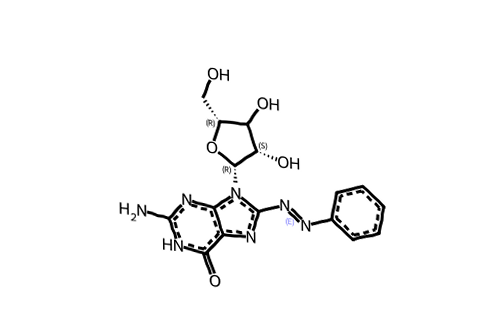 Nc1nc2c(nc(/N=N/c3ccccc3)n2[C@@H]2O[C@H](CO)C(O)[C@@H]2O)c(=O)[nH]1